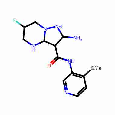 COc1ccncc1NC(=O)C1C(N)NN2CC(F)CNC12